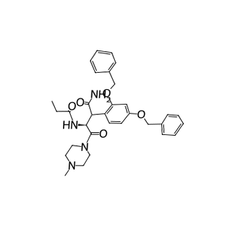 CCC(=O)N[C@H](C(=O)N1CCN(C)CC1)C(C(N)=O)c1ccc(OCc2ccccc2)cc1OCc1ccccc1